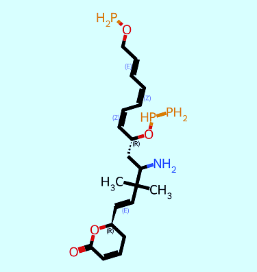 CC(C)(/C=C/[C@H]1CC=CC(=O)O1)C(N)C[C@H](\C=C/C=C\C=C\COP)OPP